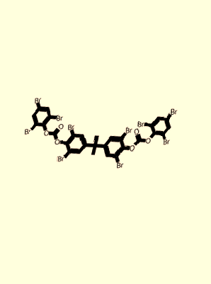 CC(C)(c1cc(Br)c(OC(=O)Oc2c(Br)cc(Br)cc2Br)c(Br)c1)c1cc(Br)c(OC(=O)Oc2c(Br)cc(Br)cc2Br)c(Br)c1